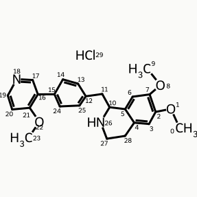 COc1cc2c(cc1OC)C(Cc1ccc(-c3cnccc3OC)cc1)NCC2.Cl